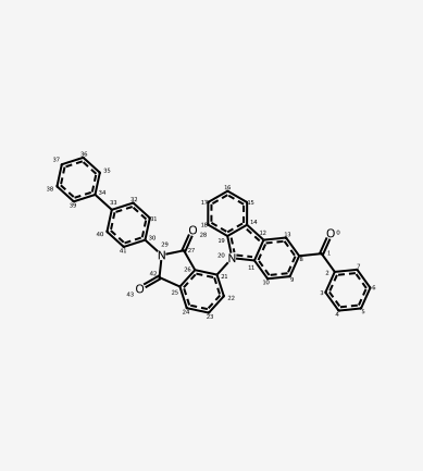 O=C(c1ccccc1)c1ccc2c(c1)c1ccccc1n2-c1cccc2c1C(=O)N(c1ccc(-c3ccccc3)cc1)C2=O